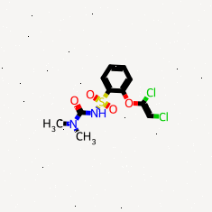 CN(C)C(=O)NS(=O)(=O)c1ccccc1OC(Cl)=CCl